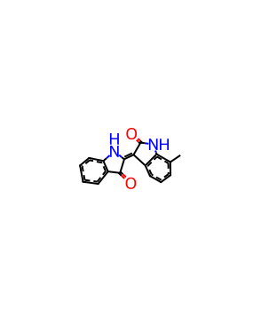 Cc1cccc2c1NC(=O)/C2=C1\Nc2ccccc2C1=O